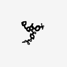 CCOC(=O)COc1ccc(C(=O)n2c(-c3ccc(C(F)(F)F)cc3)c(C)c3cc(Cc4ccccc4)ccc32)cc1